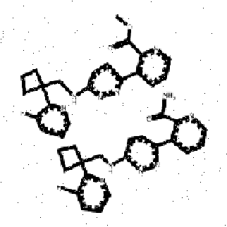 COC(=O)c1ncccc1-c1ccc(NCC2(c3ncccc3F)CCC2)nn1.NC(=O)c1ncccc1-c1ccc(NCC2(c3ncccc3F)CCC2)nn1